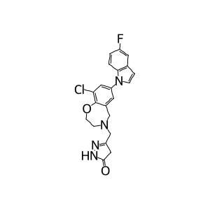 O=C1CC(CN2CCOc3c(Cl)cc(-n4ccc5cc(F)ccc54)cc3C2)=NN1